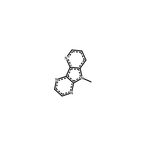 Cn1c2cccnc2c2nccnc21